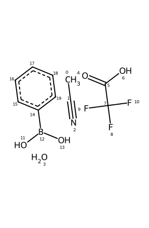 CC#N.O.O=C(O)C(F)(F)F.OB(O)c1ccccc1